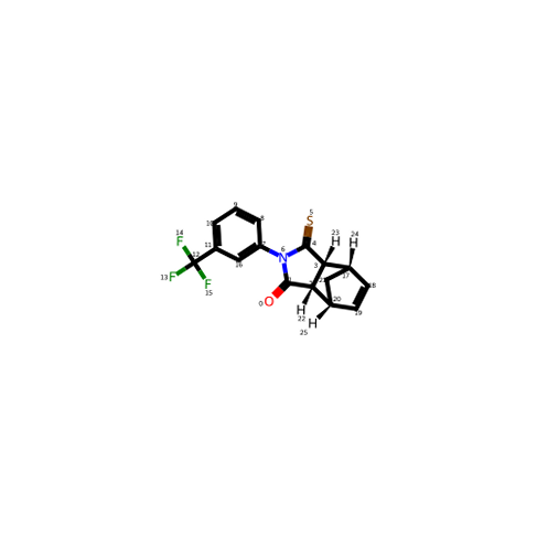 O=C1[C@@H]2[C@H](C(=S)N1c1cccc(C(F)(F)F)c1)[C@@H]1C=C[C@H]2C1